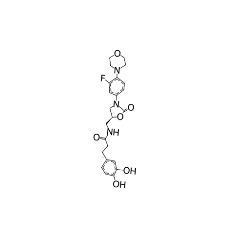 O=C(CCc1ccc(O)c(O)c1)NC[C@H]1CN(c2ccc(N3CCOCC3)c(F)c2)C(=O)O1